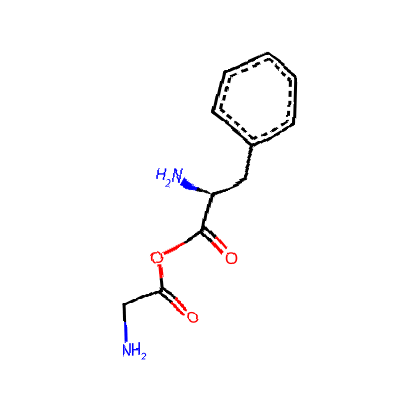 NCC(=O)OC(=O)[C@@H](N)Cc1ccccc1